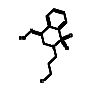 O=S1(=O)c2ccccc2/C(=N/O)CN1CCCCl